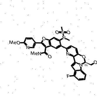 CNC(=O)c1c(-c2ccc(OC)nc2)oc2cc(N(C)S(C)(=O)=O)c(-c3ccc4c(n3)-c3cc5c(F)cccc5n3[C@H](CO)O4)cc12